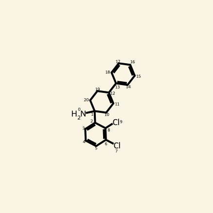 NC1(c2cccc(Cl)c2Cl)CC=C(c2ccccc2)CC1